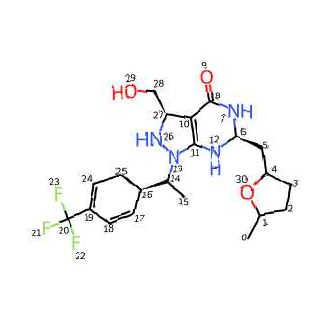 CC1CCC(C[C@@H]2NC(=O)C3=C(N2)N(C(C)[C@H]2C=CC(C(F)(F)F)=CC2)N[C@H]3CO)O1